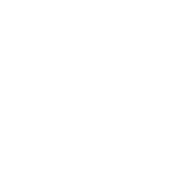 O=C(c1cc(-c2ccccc2-c2ccccc2)cc(-c2ccccc2-c2ccccc2)c1)c1cc(-c2ccccc2-c2ccccc2)cc(-c2ccccc2-c2ccccc2)c1